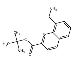 CCc1cccc2ccc(C(=O)OC(C)(C)C)nc12